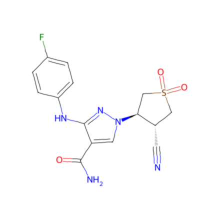 N#C[C@H]1CS(=O)(=O)C[C@@H]1n1cc(C(N)=O)c(Nc2ccc(F)cc2)n1